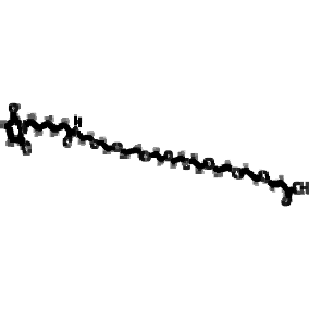 CC(=O)CCOCCOCCOCCOCCOCCOCCOCCOCCNC(=O)CCCCCN1C(=O)C=CC1=O